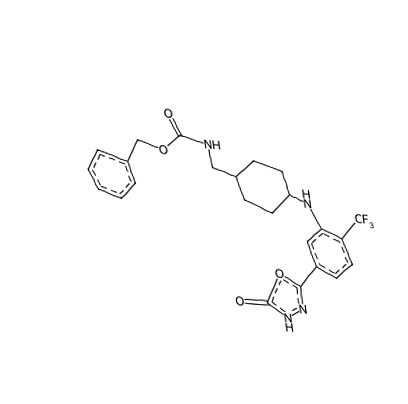 O=C(NCC1CCC(Nc2cc(-c3n[nH]c(=O)o3)ccc2C(F)(F)F)CC1)OCc1ccccc1